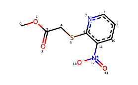 COC(=O)CSc1ncccc1[N+](=O)[O-]